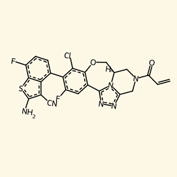 C=CC(=O)N1Cc2nnc3n2[C@@H](COc2c-3cc(F)c(-c3ccc(F)c4sc(N)c(C#N)c34)c2Cl)C1